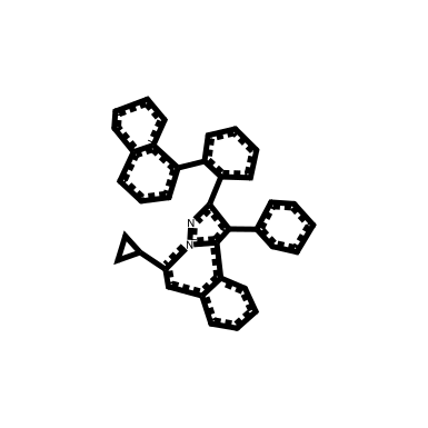 c1ccc(-c2c(-c3ccccc3-c3cccc4ccccc34)nn3c(C4CC4)cc4ccccc4c23)cc1